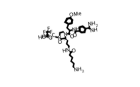 COc1ccc(CC(NC(=O)c2ccc(C(=N)N)cc2)C(=O)N2CCN(CC(=O)O)C(=O)[C@@H]2CCCNC(=O)CCCCCN)cc1.O=C(O)C(F)(F)F